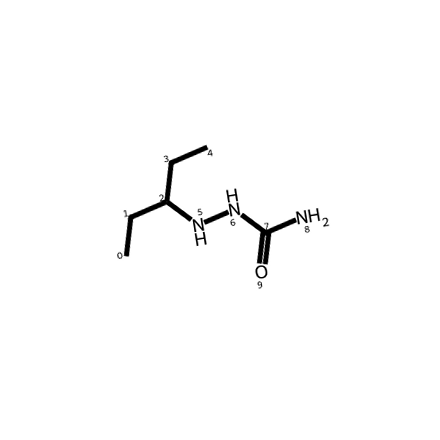 CCC(CC)NNC(N)=O